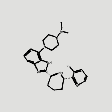 CN(C)C1CCN(c2cccc3nc([C@H]4CCC[C@@H](c5ncccc5Cl)N4)[nH]c23)CC1